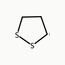 [C]1CCSS1